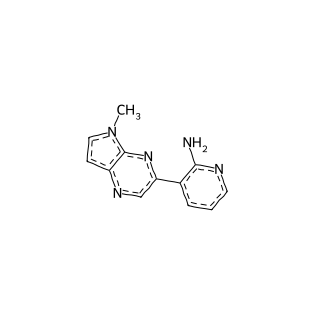 Cn1ccc2ncc(-c3cccnc3N)nc21